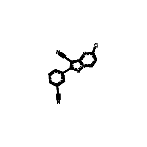 N#Cc1cccc(-c2nn3ccc(Cl)nc3c2C#N)c1